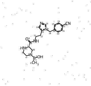 CB(O)N1CCN[C@@H](C(=O)NCCc2cncn2Cc2ccc(C#N)cc2)C1